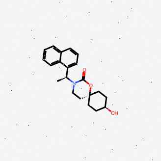 C[C@@H](c1cccc2ccccc12)N1CC[C@]2(CC[C@H](O)CC2)OC1=O